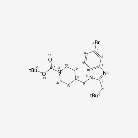 CC(C)(C)Cc1nc2cc(Br)ccc2n1CC1CCN(C(=O)OC(C)(C)C)CC1